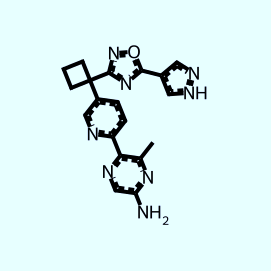 Cc1nc(N)cnc1-c1ccc(C2(c3noc(-c4cn[nH]c4)n3)CCC2)cn1